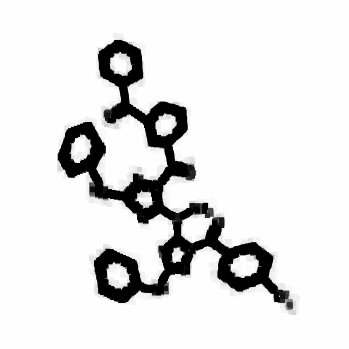 NN(c1nc(Nc2ccccc2)nn1C(=O)c1ccc(C(F)(F)F)cc1)c1nc(Nc2ccccc2)nn1C(=O)c1cccc(C(=O)c2ccccc2)c1